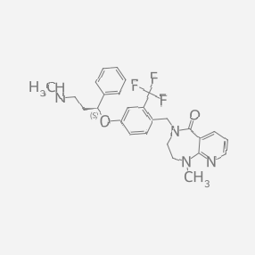 CNCC[C@H](Oc1ccc(CN2CCN(C)c3ncccc3C2=O)c(C(F)(F)F)c1)c1ccccc1